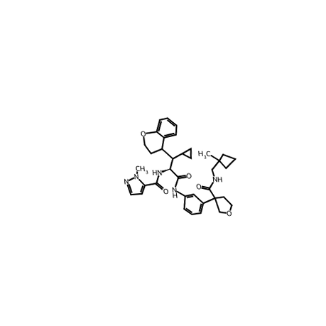 Cn1nccc1C(=O)N[C@H](C(=O)Nc1cccc(C2(C(=O)NCC3(C)CCC3)CCOC2)c1)C(C1CC1)C1CCOc2ccccc21